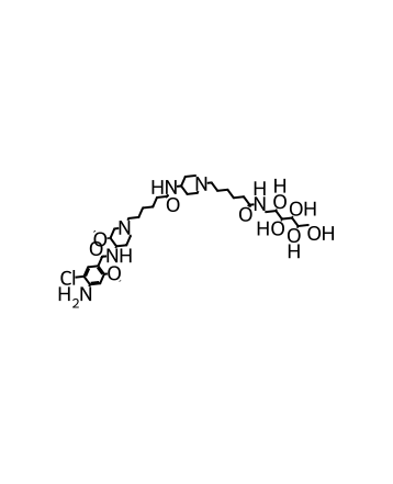 COc1cc(N)c(Cl)cc1C(=O)N[C@@H]1CCN(CCCCCC(=O)NC2CCN(CCCCCC(=O)NC[C@H](O)[C@@H](O)[C@H](O)[C@H](O)CO)CC2)C[C@@H]1OC